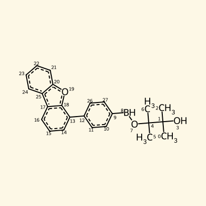 CC(C)(O)C(C)(C)OBc1ccc(-c2cccc3c2oc2ccccc23)cc1